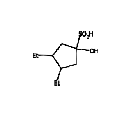 CCC1CC(O)(S(=O)(=O)O)CC1CC